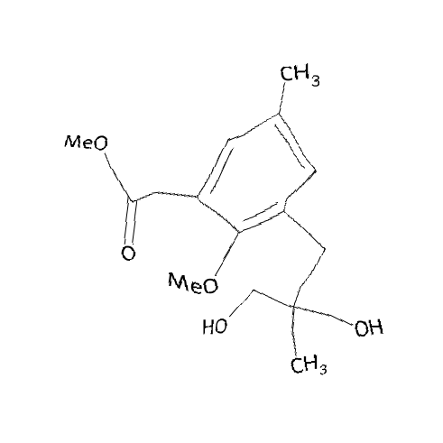 COC(=O)c1cc(C)cc(CC(C)(O)CO)c1OC